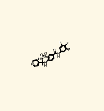 CC1(c2ccncc2)Nc2ccc(C(=O)Nc3cc(F)c(F)c(F)c3)cc2S(=O)(=O)N1